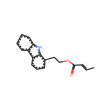 CC=CC(=O)OCCc1cccc2c1[nH]c1ccccc12